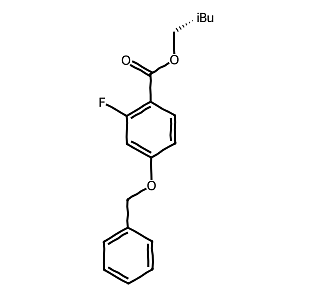 CC[C@@H](C)COC(=O)c1ccc(OCc2ccccc2)cc1F